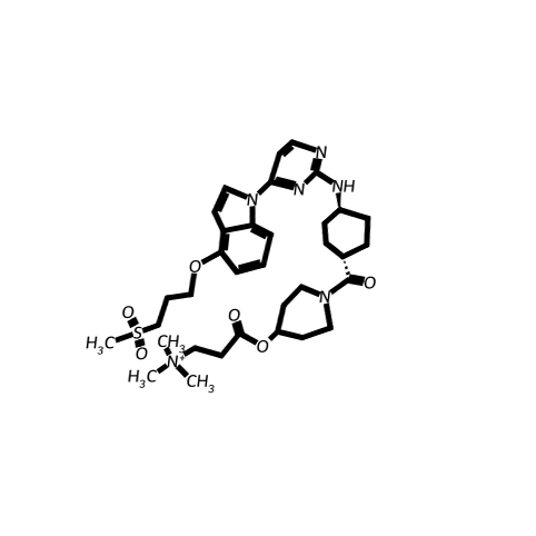 C[N+](C)(C)CCC(=O)OC1CCN(C(=O)[C@H]2CC[C@H](Nc3nccc(-n4ccc5c(OCCCS(C)(=O)=O)cccc54)n3)CC2)CC1